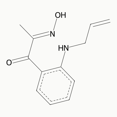 C=CCNc1ccccc1C(=O)C(C)=NO